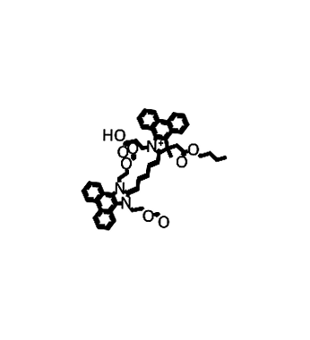 CCCCOC(=O)CC1(C)C(/C=C/C=C/C=C2N(CCOC=O)c3c(c4ccccc4c4ccccc34)N2CCOC=O)=[N+](CCC(=O)O)c2c1c1ccccc1c1ccccc21